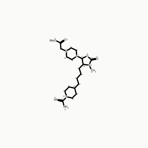 COC(=O)CN1CCN(C2OC(=O)N(C)C2CCCCC2CCN(C(=N)N)CC2)CC1